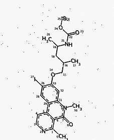 Cc1nccc2c1c(=O)n(C)c1cc(OCC(C)CC(C)NC(=O)OC(C)(C)C)c(I)cc21